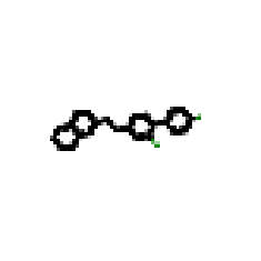 Fc1ccc(-c2ccc(CCc3ccc4ccccc4c3)cc2F)cc1